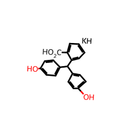 O=C(O)c1ccccc1C(c1ccc(O)cc1)c1ccc(O)cc1.[KH]